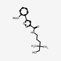 COc1ccccc1-c1cc(C(=O)NCCCC(C)(C)CO)no1